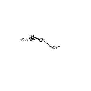 CCCCCCCCCCCCCCCCCCOc1ccc(C=Cc2ccc(S(=O)(=O)C(O)CCCCCCCCCCC)cc2)cc1